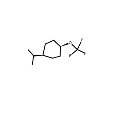 CC(C)[C@H]1CC[C@@H](OC(F)(F)F)CC1